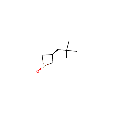 CC(C)(C)C[C@H]1C[S@@+]([O-])C1